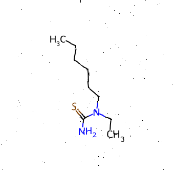 CCCCCCN(CC)C(N)=S